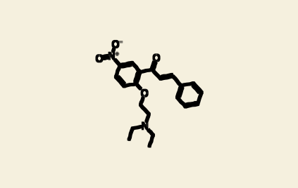 CCN(CC)CCOc1ccc([N+](=O)[O-])cc1C(=O)/C=C/c1ccccc1